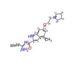 CNC(N)=NC(=O)c1cc2c(C)cc(OCCN3CCCC3)cc2[nH]1